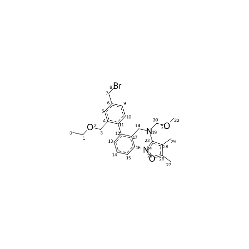 CCOCc1cc(CBr)ccc1-c1ccccc1CN(COC)c1noc(C)c1C